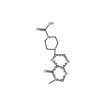 Cn1cnc2ncc(N3CCN(C(=O)O)CC3)nc2c1=O